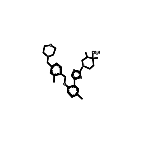 Cc1ccc(OCc2ccc(CN3CCOCC3)cc2C)c(-c2csc(N3CCC(C)(C(=O)O)C(C)C3)n2)c1